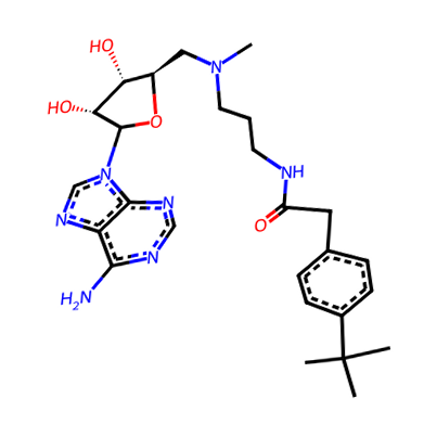 CN(CCCNC(=O)Cc1ccc(C(C)(C)C)cc1)C[C@H]1OC(n2cnc3c(N)ncnc32)[C@H](O)[C@@H]1O